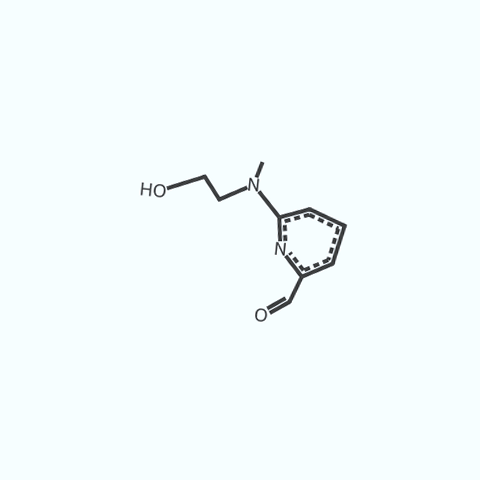 CN(CCO)c1cccc(C=O)n1